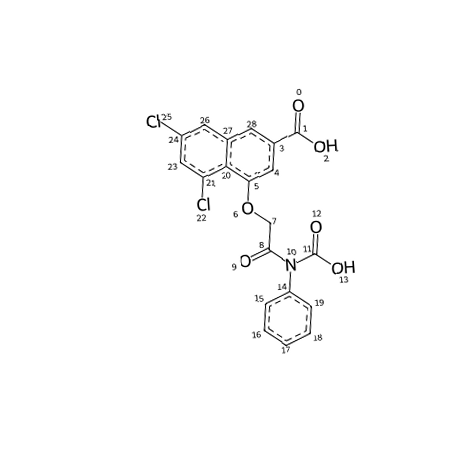 O=C(O)c1cc(OCC(=O)N(C(=O)O)c2ccccc2)c2c(Cl)cc(Cl)cc2c1